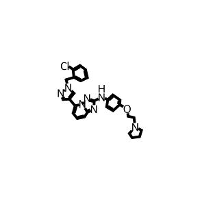 Clc1ccccc1Cn1cc(-c2cccc3nc(Nc4ccc(OCCN5CCCC5)cc4)nn23)cn1